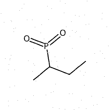 CCC(C)P(=O)=O